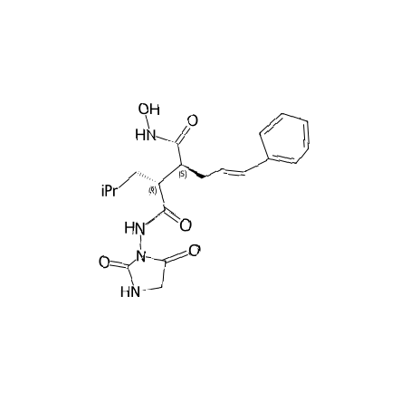 CC(C)C[C@@H](C(=O)NN1C(=O)CNC1=O)[C@H](CC=Cc1ccccc1)C(=O)NO